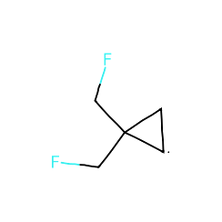 FCC1(CF)[CH]C1